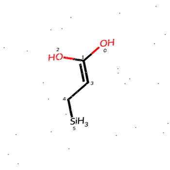 OC(O)=CC[SiH3]